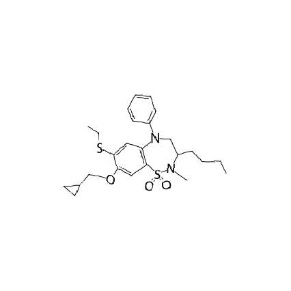 CCCCC1CN(c2ccccc2)c2cc(SCC)c(OCC3CC3)cc2S(=O)(=O)N1C